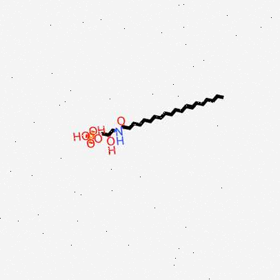 CCCCCC/C=C/CCCCCCCCCCCC(=O)NCC(O)COP(=O)(O)O